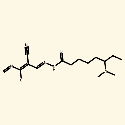 C=NC(Cl)=C(C#N)C=NNC(=O)CCCCC(CC)N(C)C